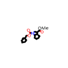 COC(=O)c1cn(C(=O)OCc2ccccc2)c2ccccc12